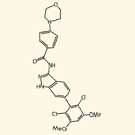 COc1cc(OC)c(Cl)c(-c2ccc3c(NC(=O)c4ccc(N5CCOCC5)cc4)n[nH]c3c2)c1Cl